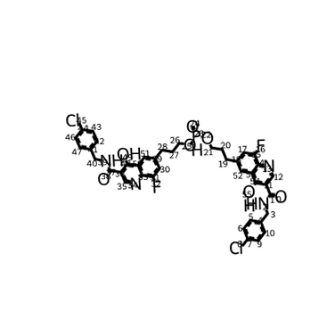 O=C(NCc1ccc(Cl)cc1)c1cnc2c(F)cc(CCCO[PH](=O)OCCCc3cc(F)c4ncc(C(=O)NCc5ccc(Cl)cc5)c(O)c4c3)cc2c1O